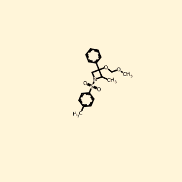 COCOC1(c2ccccc2)CN(S(=O)(=O)c2ccc(C)cc2)C1C